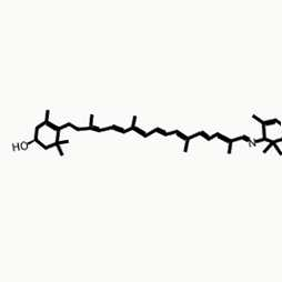 CC1=CCCC(C)(C)C1/N=C/C(C)=C/C=C/C(C)=C/C=C/C=C(C)/C=C/C=C(\C)CCC1=C(C)C[C@H](O)CC1(C)C